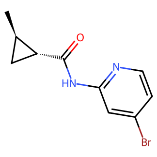 C[C@@H]1C[C@H]1C(=O)Nc1cc(Br)ccn1